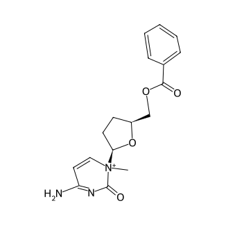 C[N+]1([C@H]2CC[C@@H](COC(=O)c3ccccc3)O2)C=CC(N)=NC1=O